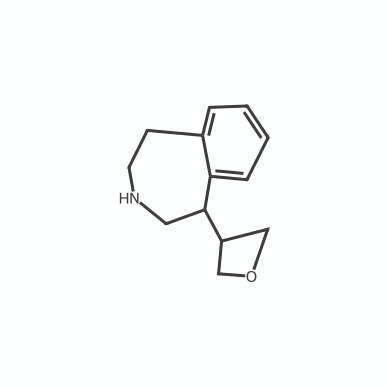 c1ccc2c(c1)CCNCC2C1COC1